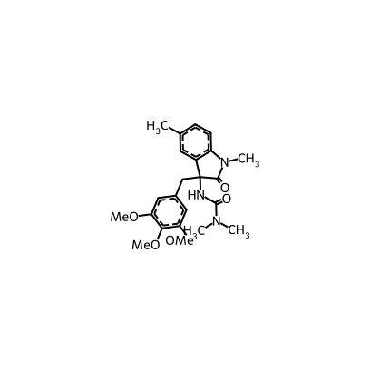 COc1cc(CC2(NC(=O)N(C)C)C(=O)N(C)c3ccc(C)cc32)cc(OC)c1OC